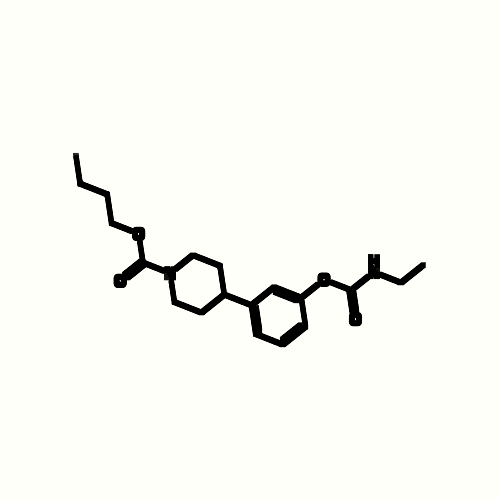 CCCCOC(=O)N1CCC(c2cccc(OC(=O)NCC)c2)CC1